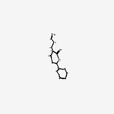 O=C1OC(C2CCCCC2)CCC1CCCF